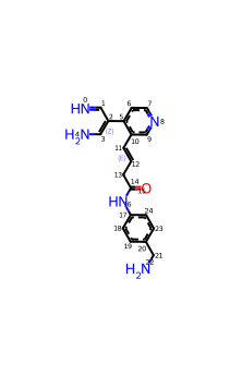 N=C/C(=C\N)c1ccncc1/C=C/CC(=O)Nc1ccc(CN)cc1